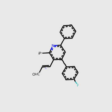 CC(C)c1nc(-c2ccccc2)cc(-c2ccc(F)cc2)c1/C=C/C=O